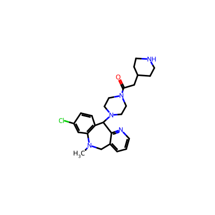 CN1Cc2cccnc2C(N2CCN(C(=O)CC3CCNCC3)CC2)c2ccc(Cl)cc21